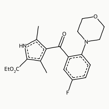 CCOC(=O)c1[nH]c(C)c(C(=O)c2cc(F)ccc2N2CCOCC2)c1C